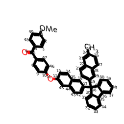 COc1ccc(C(=O)c2ccc(Oc3ccc4cc(C5(c6ccc7cc(C)ccc7c6)c6ccccc6-c6ccccc65)ccc4c3)cc2)cc1